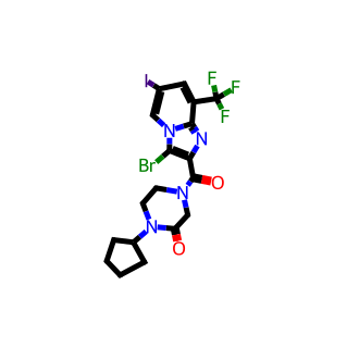 O=C(c1nc2c(C(F)(F)F)cc(I)cn2c1Br)N1CCN(C2CCCC2)C(=O)C1